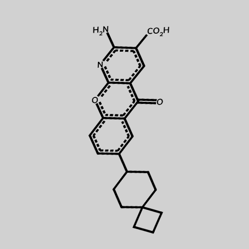 Nc1nc2oc3ccc(C4CCC5(CCC5)CC4)cc3c(=O)c2cc1C(=O)O